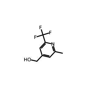 Cc1cc(CO)cc(C(F)(F)F)n1